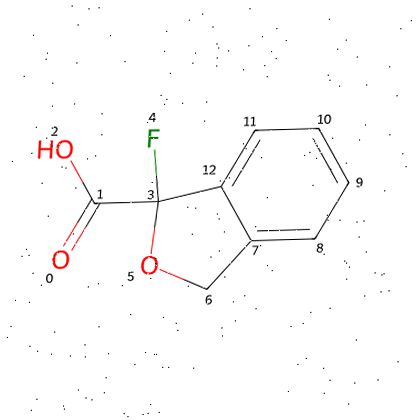 O=C(O)C1(F)OCc2ccccc21